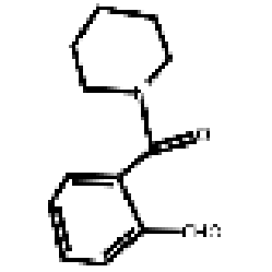 O=Cc1ccccc1C(=O)N1CCCCC1